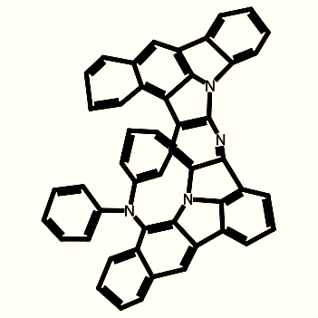 c1ccc(N(c2ccccc2)c2c3ccccc3cc3c4cccc5c6nc7c(cc6n(c23)c45)c2c3ccccc3cc3c4ccccc4n7c32)cc1